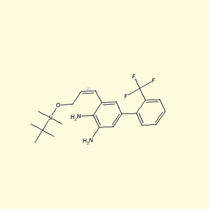 CC(C)(C)[Si](C)(C)OC/C=C\c1cc(-c2ccccc2C(F)(F)F)cc(N)c1N